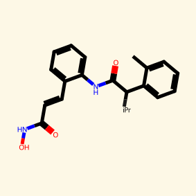 Cc1ccccc1C(C(=O)Nc1ccccc1/C=C/C(=O)NO)C(C)C